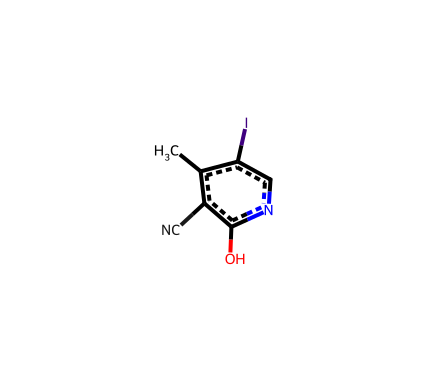 Cc1c(I)cnc(O)c1C#N